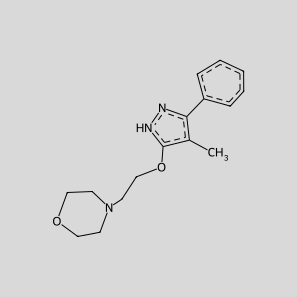 Cc1c(-c2ccccc2)n[nH]c1OCCN1CCOCC1